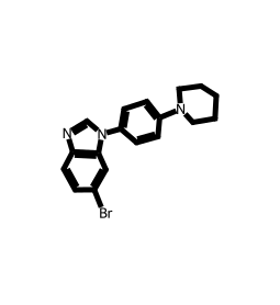 Brc1ccc2ncn(-c3ccc(N4CCCCC4)cc3)c2c1